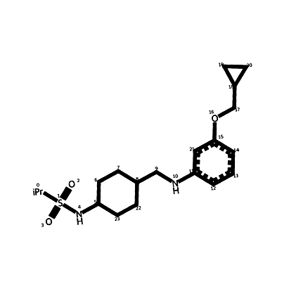 CC(C)S(=O)(=O)NC1CCC(CNc2cccc(OCC3CC3)c2)CC1